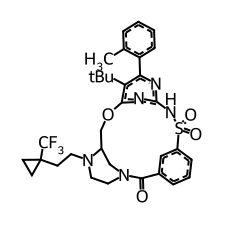 Cc1ccccc1-c1nc2nc(c1C(C)(C)C)OCC1CN(CCN1CCC1(C(F)(F)F)CC1)C(=O)c1cccc(c1)S(=O)(=O)N2